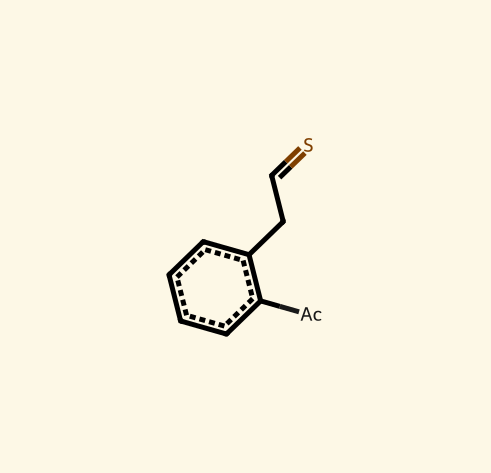 CC(=O)c1ccccc1CC=S